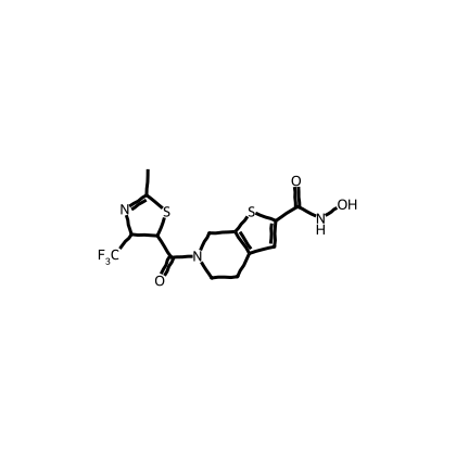 CC1=NC(C(F)(F)F)C(C(=O)N2CCc3cc(C(=O)NO)sc3C2)S1